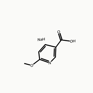 COc1ccc(C(=O)O)cn1.[NaH]